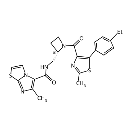 CCc1ccc(-c2sc(C)nc2C(=O)N2CC[C@H]2CNC(=O)c2c(C)nc3sccn23)cc1